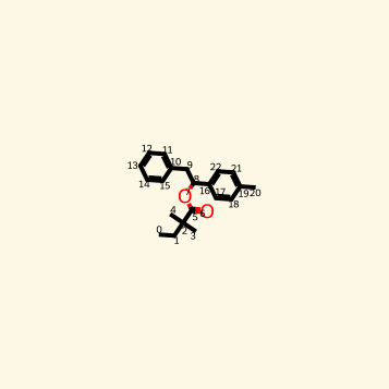 CCC(C)(C)C(=O)OC(Cc1ccccc1)c1ccc(C)cc1